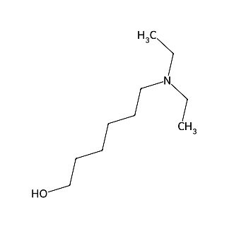 CCN(CC)CCCCCCO